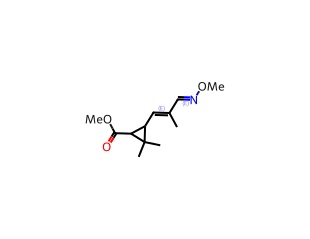 CO/N=C/C(C)=C/C1C(C(=O)OC)C1(C)C